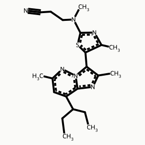 CCC(CC)c1cc(C)nn2c(-c3sc(N(C)CCC#N)nc3C)c(C)nc12